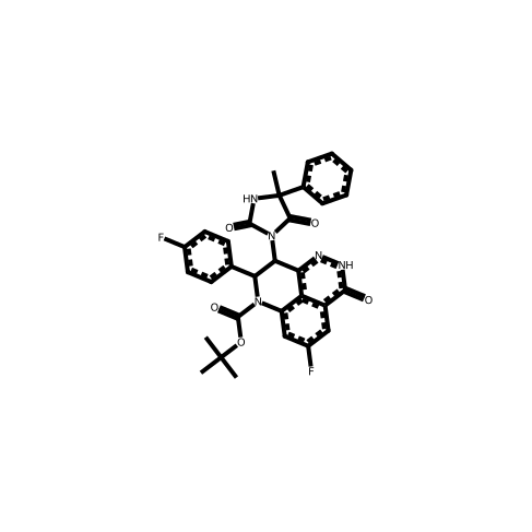 CC(C)(C)OC(=O)N1c2cc(F)cc3c(=O)[nH]nc(c23)C(N2C(=O)NC(C)(c3ccccc3)C2=O)C1c1ccc(F)cc1